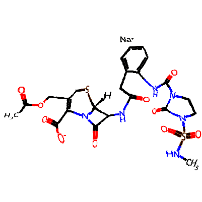 CNS(=O)(=O)N1CCN(C(=O)Nc2ccccc2CC(=O)NC2C(=O)N3C(C(=O)[O-])=C(COC(C)=O)CS[C@H]23)C1=O.[Na+]